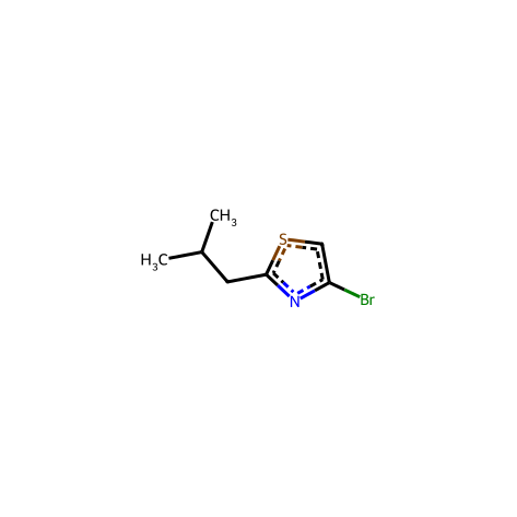 CC(C)Cc1nc(Br)cs1